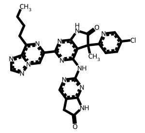 CCCCc1nc(-c2nc3c(c(Nc4ncc5c(n4)NC(=O)C5)n2)C(C)(c2ccc(Cl)cn2)C(=O)N3)cn2ncnc12